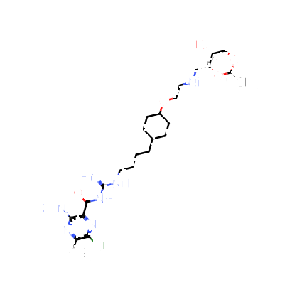 Cc1nc(N)c(C(=O)NC(=N)NCCCCC2CCC(OCCNC[C@@H]3O[C@H](C)OC[C@H]3O)CC2)nc1Cl